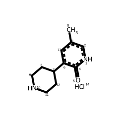 Cc1c[nH]c(=O)c(C2CCNCC2)c1.Cl